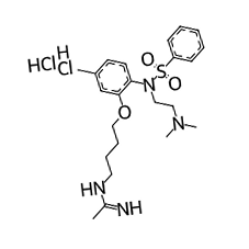 CC(=N)NCCCCOc1cc(C)ccc1N(CCN(C)C)S(=O)(=O)c1ccccc1.Cl.Cl